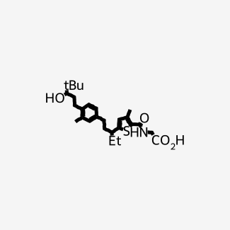 CCC(CCc1ccc(CCC(O)C(C)(C)C)c(C)c1)c1cc(C)c(C(=O)NCC(=O)O)s1